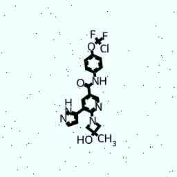 CC1(O)CN(c2ncc(C(=O)Nc3ccc(OC(F)(F)Cl)cc3)cc2-c2ccn[nH]2)C1